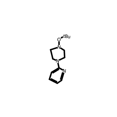 CC(C)(C)ON1CCN(c2ccccn2)CC1